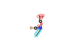 CCOC(Cc1ccc(OCCN(CC(F)(F)C(F)(F)C(F)(F)C(F)(F)C(F)(F)C(F)(F)F)C(=O)Nc2ccc(Br)cc2)cc1)C(=O)O